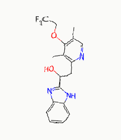 Cc1cnc(CC(O)c2nc3ccccc3[nH]2)c(C)c1OCC(F)(F)F